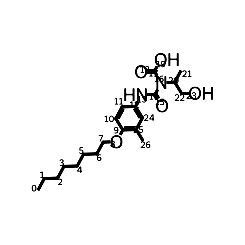 CCCCCCCCOc1ccc(NC(=O)N(C(=O)O)C(C)CO)cc1C